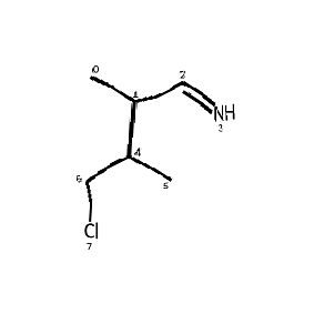 CC(C=N)C(C)CCl